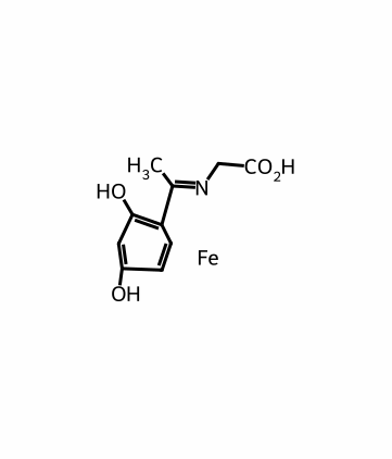 C/C(=N\CC(=O)O)c1ccc(O)cc1O.[Fe]